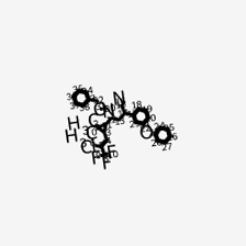 CC1(C)C(/C=C(\Cl)C(F)(F)F)C1/C(CC(C#N)c1cccc(Oc2ccccc2)c1)=N\OCc1ccccc1